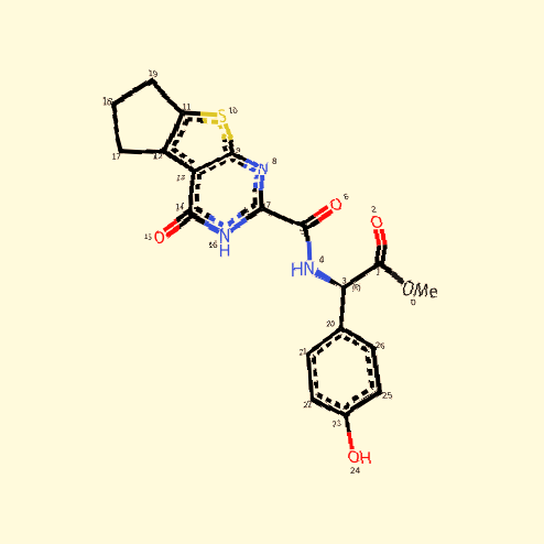 COC(=O)[C@H](NC(=O)c1nc2sc3c(c2c(=O)[nH]1)CCC3)c1ccc(O)cc1